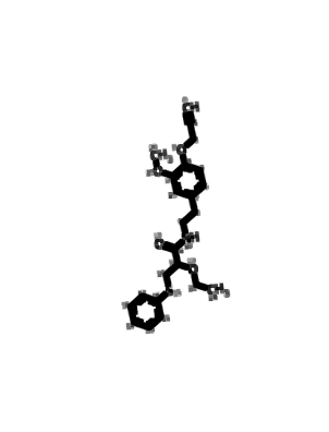 C#CCOc1ccc(CCNC(=O)C(CSc2ccccc2)OCC)cc1OC